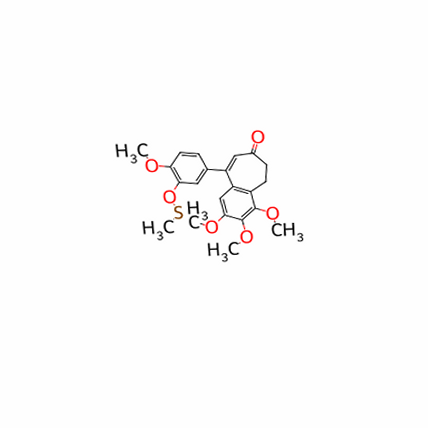 COc1ccc(C2=CC(=O)CCc3c2cc(OC)c(OC)c3OC)cc1OSC